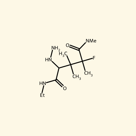 CCNC(=O)C(NN)C(C)(C)C(C)(F)C(=O)NC